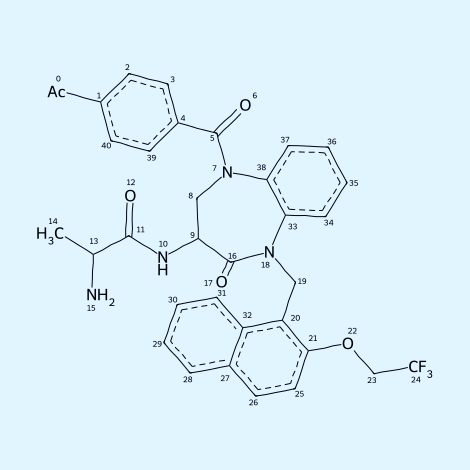 CC(=O)c1ccc(C(=O)N2CC(NC(=O)C(C)N)C(=O)N(Cc3c(OCC(F)(F)F)ccc4ccccc34)c3ccccc32)cc1